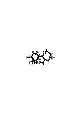 OCC1CNCCOC1c1ccc(F)c(Cl)c1